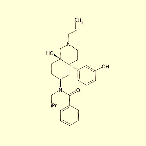 C=CCN1CC[C@@]2(c3cccc(O)c3)C[C@@H](N(CC(C)C)C(=O)c3ccccc3)CC[C@]2(O)C1